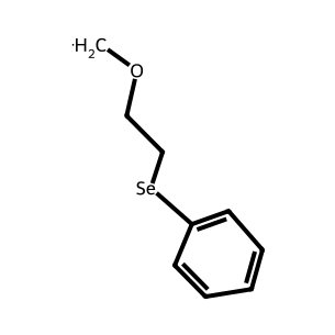 [CH2]OCC[Se]c1ccccc1